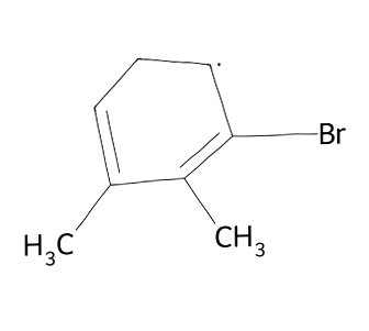 CC1=CC[CH]C(Br)=C1C